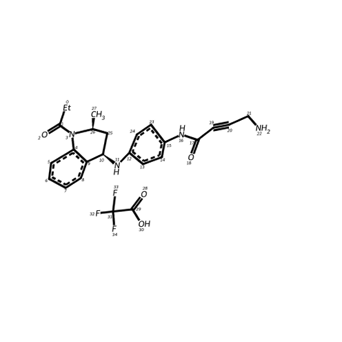 CCC(=O)N1c2ccccc2[C@H](Nc2ccc(NC(=O)C#CCN)cc2)C[C@@H]1C.O=C(O)C(F)(F)F